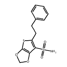 NS(=O)(=O)c1c(CCc2ccccc2)sc2c1OCO2